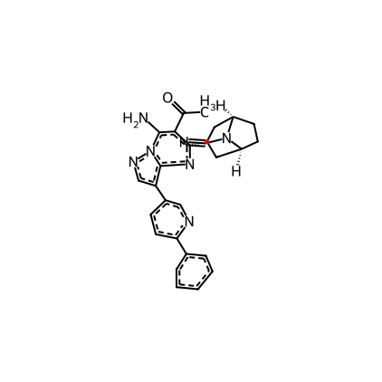 CC(=O)c1c([C@@H]2C[C@H]3CC[C@@H](C2)N3C#N)nc2c(-c3ccc(-c4ccccc4)nc3)cnn2c1N